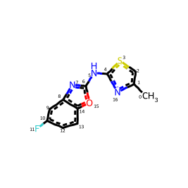 Cc1csc(Nc2nc3cc(F)ccc3o2)n1